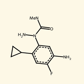 CNC(=O)N(N)c1cc(N)c(F)cc1C1CC1